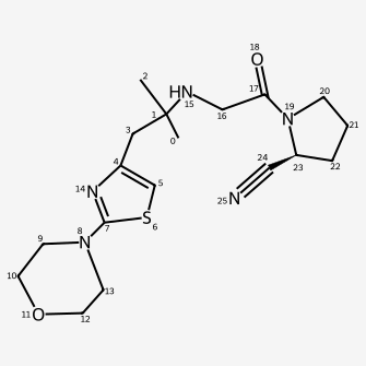 CC(C)(Cc1csc(N2CCOCC2)n1)NCC(=O)N1CCC[C@H]1C#N